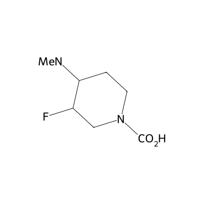 CNC1CCN(C(=O)O)CC1F